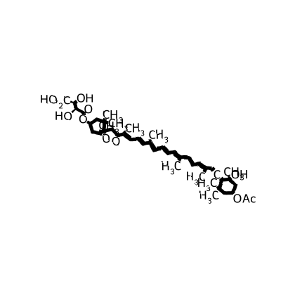 CC(=O)OC1CC(C)(C)C(=C=C/C(C)=C/C=C/C(C)=C/C=C/C=C(C)/C=C/C=C(\C)C(=O)CC23OC2(C)CC(OC(=O)[C@@H](O)[C@H](O)C(=O)O)CC3(C)C)[C@](C)(O)C1